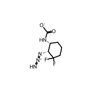 N=[N+]=N[C@@H]1[C@H](NC(=O)[O-])CCCC1(F)F